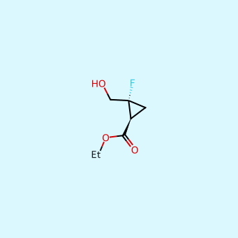 CCOC(=O)[C@@H]1C[C@]1(F)CO